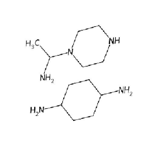 CC(N)N1CCNCC1.NC1CCC(N)CC1